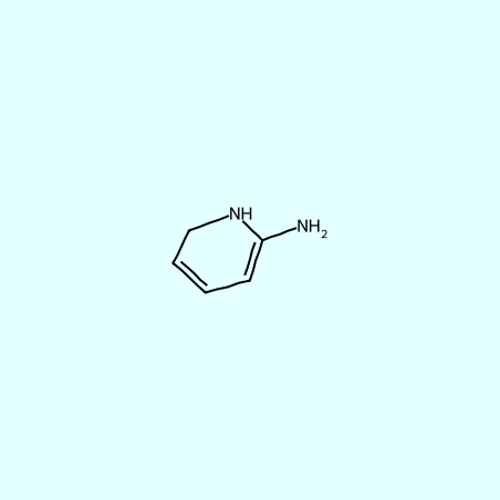 NC1=CC=CCN1